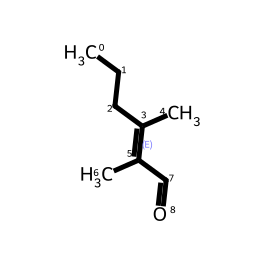 CCC/C(C)=C(\C)C=O